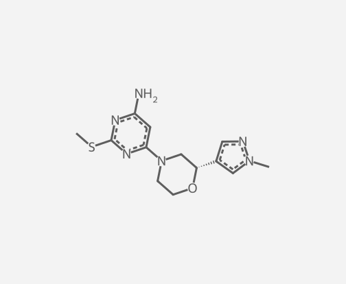 CSc1nc(N)cc(N2CCO[C@@H](c3cnn(C)c3)C2)n1